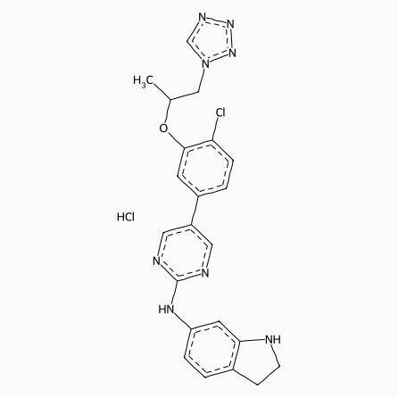 CC(Cn1cnnn1)Oc1cc(-c2cnc(Nc3ccc4c(c3)NCC4)nc2)ccc1Cl.Cl